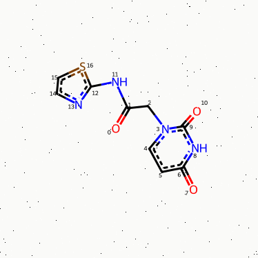 O=C(Cn1ccc(=O)[nH]c1=O)Nc1nccs1